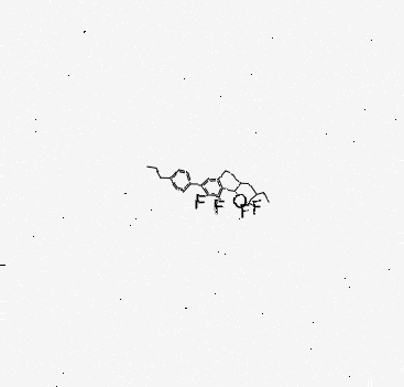 CCCc1ccc(-c2cc3c(c(F)c2F)C2OC(F)(F)C(CC)CC2CC3)cc1